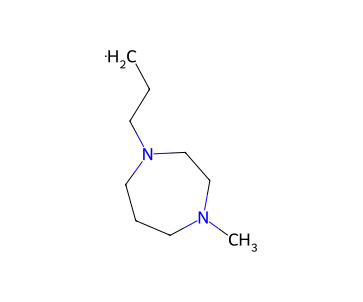 [CH2]CCN1CCCN(C)CC1